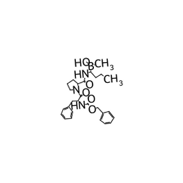 CCCC(NC(=O)C1CCCN1C(=O)C(Cc1ccccc1)NC(=O)OCc1ccccc1)B(C)O